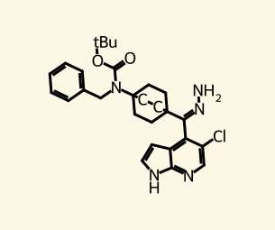 CC(C)(C)OC(=O)N(Cc1ccccc1)C12CCC(/C(=N\N)c3c(Cl)cnc4[nH]ccc34)(CC1)CC2